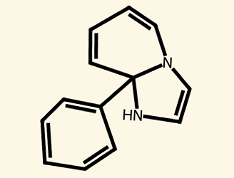 C1=CN2C=CNC2(c2ccccc2)C=C1